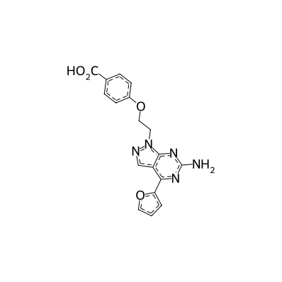 Nc1nc(-c2ccco2)c2cnn(CCOc3ccc(C(=O)O)cc3)c2n1